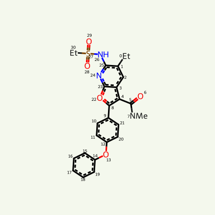 CCc1cc2c(C(=O)NC)c(-c3ccc(Oc4ccccc4)cc3)oc2nc1NS(=O)(=O)CC